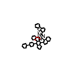 c1ccc(-c2ccc(-c3c4ccccc4c(-c4ccc5ccccc5c4-c4nc(-c5ccccc5)nc(-c5cccc6c5sc5ccccc56)n4)c4ccccc34)cc2)cc1